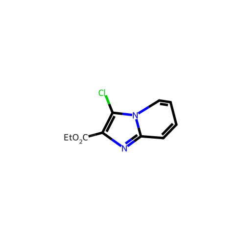 CCOC(=O)c1nc2ccccn2c1Cl